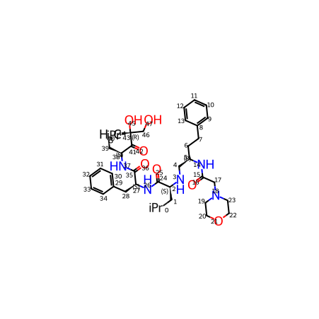 CC(C)C[C@H](NC[C@@H](CCc1ccccc1)NC(=O)CN1CCOCC1)C(=O)N[C@@H](Cc1ccccc1)C(=O)N[C@@H](CC(C)C)C(=O)[C@](C)(O)CO